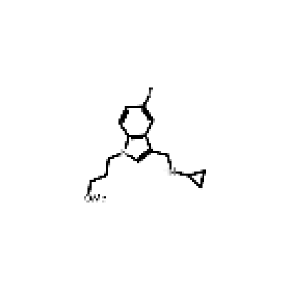 COCCCn1cc(CNC2CC2)c2cc(F)ccc21